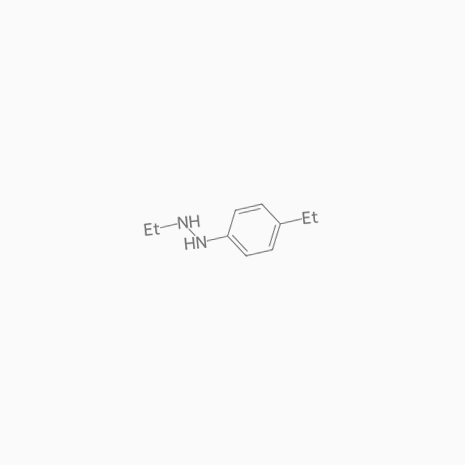 CCNNc1ccc(CC)cc1